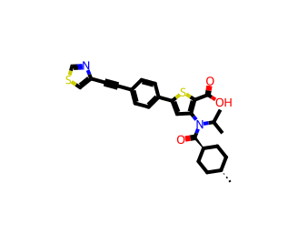 CC(C)N(c1cc(-c2ccc(C#Cc3cscn3)cc2)sc1C(=O)O)C(=O)[C@H]1CC[C@H](C)CC1